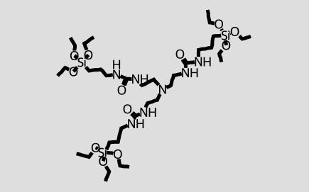 CCO[Si](CCCNC(=O)NCCN(CCNC(=O)NCCC[Si](OCC)(OCC)OCC)CCNC(=O)NCCC[Si](OCC)(OCC)OCC)(OCC)OCC